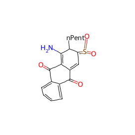 CCCCCC1C(N)=C2C(=O)c3ccccc3C(=O)C2=CC1=S(=O)=O